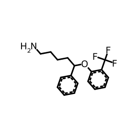 NCCCCC(Oc1ccccc1C(F)(F)F)c1ccccc1